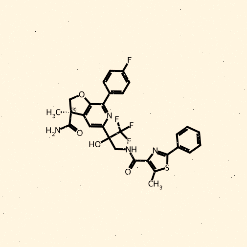 Cc1sc(-c2ccccc2)nc1C(=O)NCC(O)(c1cc2c(c(-c3ccc(F)cc3)n1)OC[C@]2(C)C(N)=O)C(F)(F)F